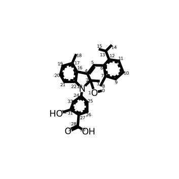 COC1(C)/C(=C\c2c(C)cccc2C(C)C)c2c(C)cccc2N1c1ccc(C(=O)O)c(O)c1